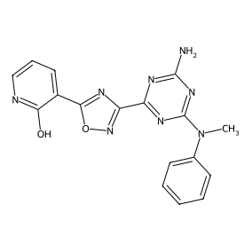 CN(c1ccccc1)c1nc(N)nc(-c2noc(-c3cccnc3O)n2)n1